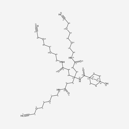 C#CCOCCOCCNC(=O)CCC(CCC(=O)NCCOCCOCC#C)(CCC(=O)NCCOCCOCC#C)NC(=O)C12CCC(O)(CC1)CC2